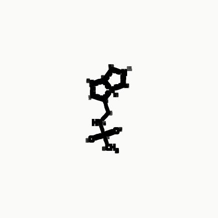 CS(=O)(=O)NCc1csc2cncn12